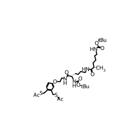 CC(=O)SCc1ccc(OCCNC(=O)[C@H](CCCCNC(=O)[C@@H](C)CCCCNC(=O)OC(C)(C)C)NC(=O)OC(C)(C)C)cc1CSC(C)=O